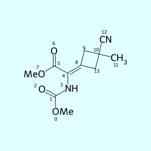 COC(=O)NC(C(=O)OC)=C1CC(C)(C#N)C1